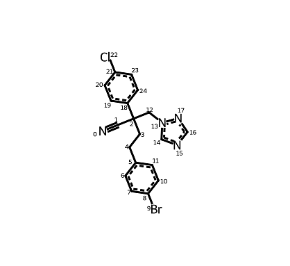 N#CC(CCc1ccc(Br)cc1)(Cn1cncn1)c1ccc(Cl)cc1